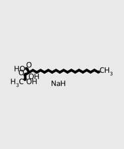 CCCCCCCCCCCCCCCCCCCC(O)(C(=O)O)C(=O)C(C)O.[NaH]